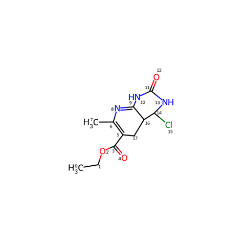 CCOC(=O)C1=C(C)N=C2NC(=O)NC(Cl)C2C1